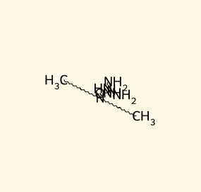 CCCCCCCC/C=C/CCCCCCCCN(CCCCCCCC/C=C/CCCCCCCC)C(=O)CCN/C(=N\CCN)NCCN